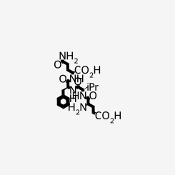 CC(C)[C@H](NC(=O)[C@@H](N)CCC(=O)O)C(=O)N[C@@H](Cc1ccccc1)C(=O)N[C@@H](CCC(N)=O)C(=O)O